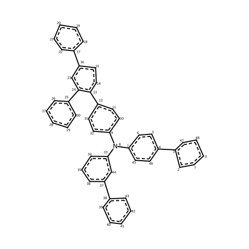 c1ccc(-c2ccc(N(c3ccc(-c4ccc(-c5ccccc5)cc4-c4ccccc4)cc3)c3cccc(-c4ccccc4)c3)cc2)cc1